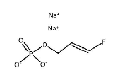 O=P([O-])([O-])OCC=CF.[Na+].[Na+]